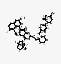 C#Cc1c(F)ccc2cc(O)cc(-c3ncc4c(N5C[C@H]6CC[C@@H](C5)N6)nc(OC[C@@H]5CCCCN5Cc5ccc(N6CCC(=O)NC6=O)nn5)nc4c3F)c12